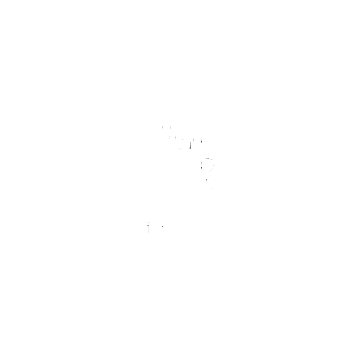 COCOc1ccc(C2(C)COc3cc(OCOC)ccc3C2CCCCCCCCSCCCC(F)(F)C(F)(F)F)cc1